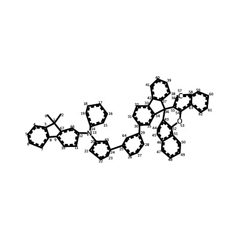 CC1(C)c2ccccc2-c2ccc(N(c3ccccc3)c3cccc(-c4cccc(-c5ccc6c(c5)C5(c7ccccc7-6)c6ccc7ccccc7c6Oc6c5ccc5ccccc65)c4)c3)cc21